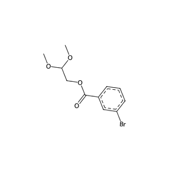 COC(COC(=O)c1cccc(Br)c1)OC